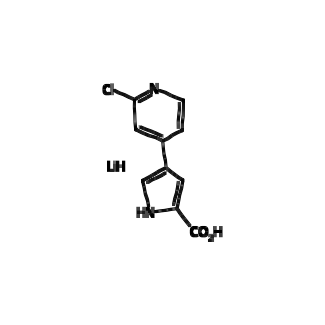 O=C(O)c1cc(-c2ccnc(Cl)c2)c[nH]1.[LiH]